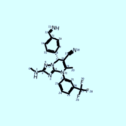 CNc1nc2n(n1)[C@H](c1ccc(C=N)cc1)C(C#N)=C(C)N2c1cccc(C(F)(F)F)c1